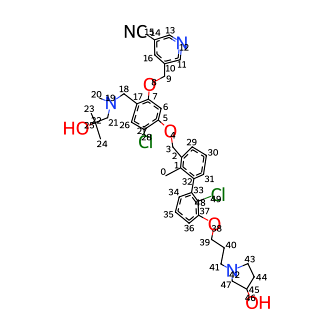 Cc1c(COc2cc(OCc3cncc(C#N)c3)c(CN(C)CC(C)(C)O)cc2Cl)cccc1-c1cccc(OCCCN2CCC(O)C2)c1Cl